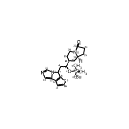 CC(C)(C)[Si](C)(C)OC(CC1c2sccc2-c2cncn21)[C@H]1CCN2C(=O)CC[C@H]2C1